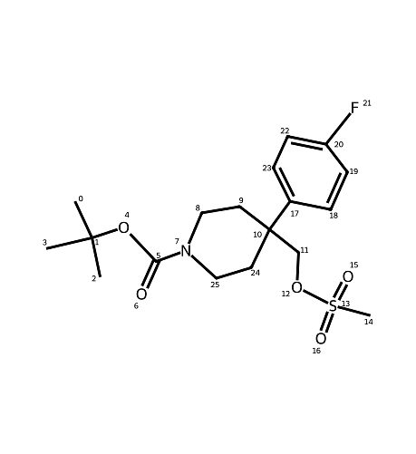 CC(C)(C)OC(=O)N1CCC(COS(C)(=O)=O)(c2ccc(F)cc2)CC1